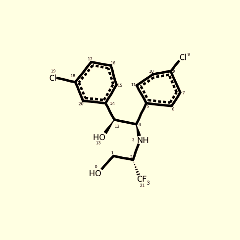 OC[C@H](N[C@H](c1ccc(Cl)cc1)[C@@H](O)c1cccc(Cl)c1)C(F)(F)F